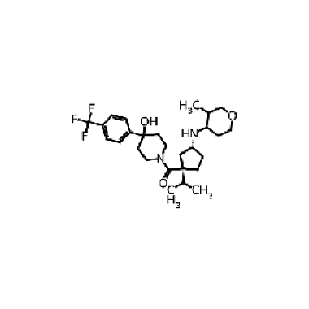 CC1COCCC1N[C@@H]1CC[C@@](C(=O)N2CCC(O)(c3ccc(C(F)(F)F)cc3)CC2)(C(C)C)C1